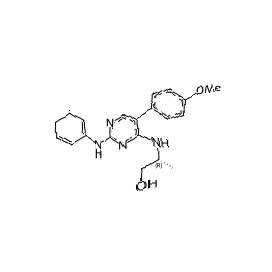 COc1ccc(-c2cnc(NC3=C[CH]CC=C3)nc2N[C@H](C)CO)cc1